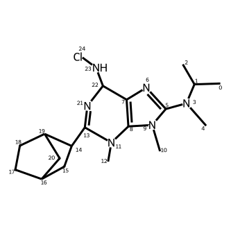 CC(C)N(C)c1nc2c(n1C)N(C)C(C1CC3CCC1C3)=NC2NCl